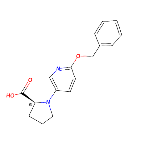 O=C(O)[C@@H]1CCCN1c1ccc(OCc2ccccc2)nc1